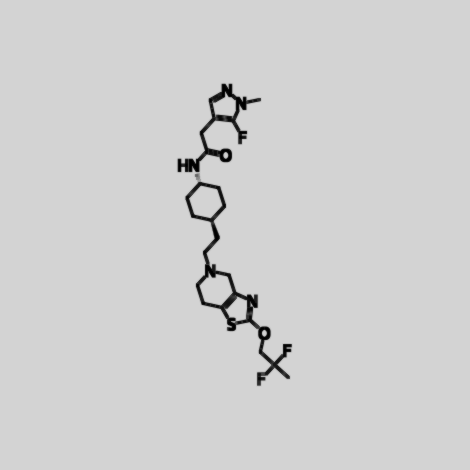 Cn1ncc(CC(=O)N[C@H]2CC[C@H](CCN3CCc4sc(OCC(C)(F)F)nc4C3)CC2)c1F